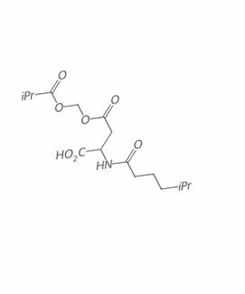 CC(C)CCCC(=O)NC(CC(=O)OCOC(=O)C(C)C)C(=O)O